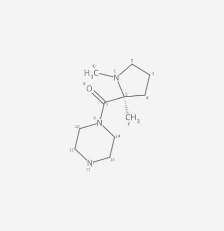 CN1CCC[C@@]1(C)C(=O)N1CC[N]CC1